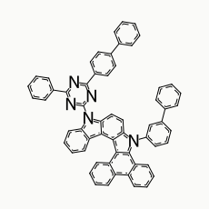 c1ccc(-c2ccc(-c3nc(-c4ccccc4)nc(-n4c5ccccc5c5c6c7c8ccccc8c8ccccc8c7n(-c7cccc(-c8ccccc8)c7)c6ccc54)n3)cc2)cc1